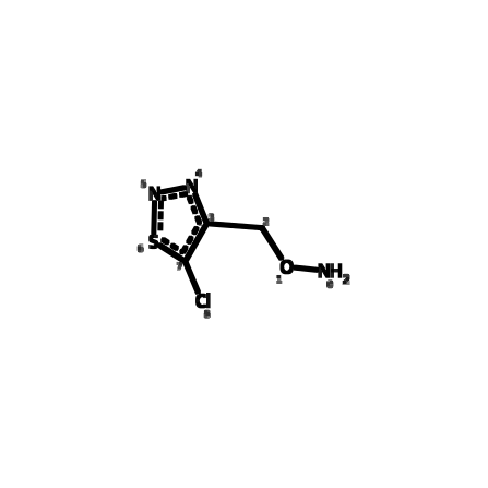 NOCc1nnsc1Cl